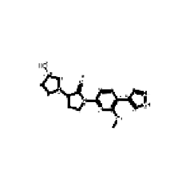 COc1nc(N2CCC(N3CC[C@H](O)C3)C2=O)ccc1-c1cn[nH]c1